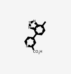 Cc1ccc(-c2ccnc(C(=O)O)c2)c2nsnc12